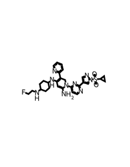 NC1=CC(NC2CCC(NCCF)CC2)=C(c2ccccn2)CN1c1ccnc(-c2cnn(S(=O)(=O)C3CC3)c2)n1